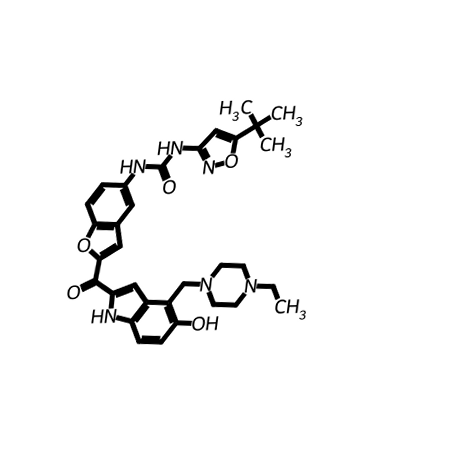 CCN1CCN(Cc2c(O)ccc3[nH]c(C(=O)c4cc5cc(NC(=O)Nc6cc(C(C)(C)C)on6)ccc5o4)cc23)CC1